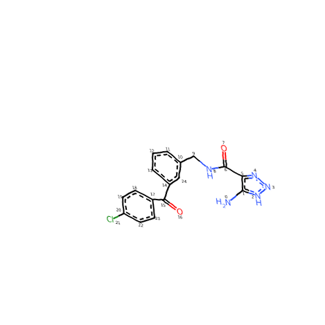 Nc1[nH]nnc1C(=O)NCc1cccc(C(=O)c2ccc(Cl)cc2)c1